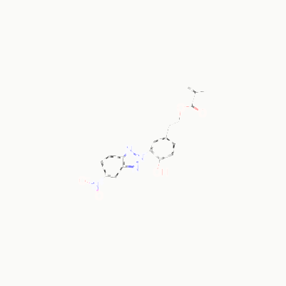 C=C(C)C(=O)OCCc1ccc(O)c(-n2nc3ccc([N+](=O)[O-])cc3n2)c1